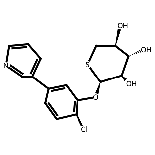 O[C@@H]1[C@@H](O)[C@@H](Oc2cc(-c3cccnc3)ccc2Cl)SC[C@H]1O